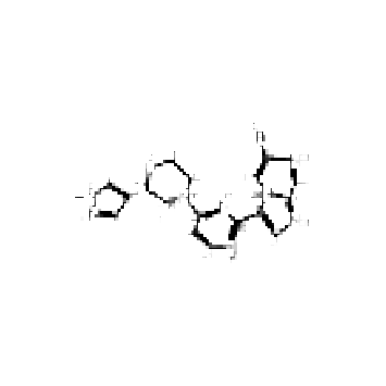 C[C@@H]1[C@H](c2cn[nH]c2)OCCN1c1ccnc(-c2cnc3cnc(Br)cn23)n1